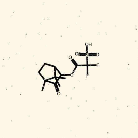 CC12CCC(C(OC(=O)C(F)(F)S(=O)(=O)O)C1=O)C2(C)C